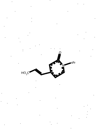 CCCn1ccc(/C=C/C(=O)O)cc1=O